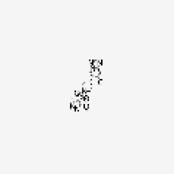 COc1c(S(=O)(=O)N2CCC(c3cn4ncnc4cc3Cl)CC2)c(I)nn1C